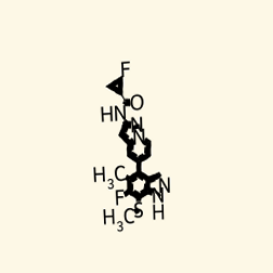 CSc1c(F)c(C)c(-c2ccn3nc(NC(=O)[C@@H]4C[C@@H]4F)cc3c2)c2cn[nH]c12